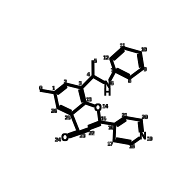 Cc1cc(C(C)Nc2ccccc2)c2oc(-c3ccncc3)cc(=O)c2c1